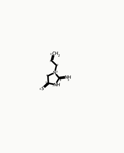 C=CCN1CC(=S)NC1=N